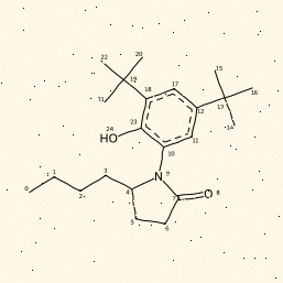 CCCCC1CCC(=O)N1c1cc(C(C)(C)C)cc(C(C)(C)C)c1O